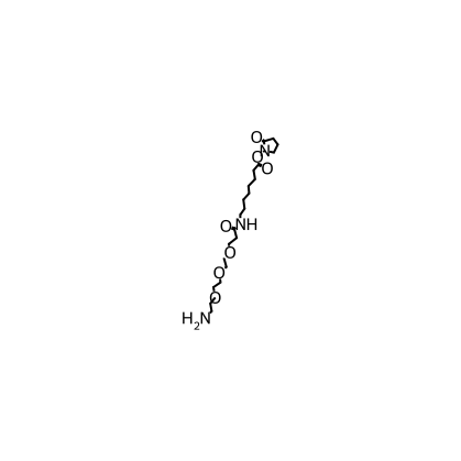 NCCOCCOCCOCCC(=O)NCCCCCCCC(=O)ON1CCCC1=O